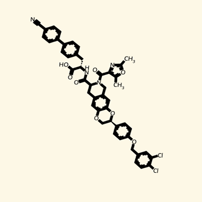 Cc1nc(C(=O)N2Cc3cc4c(cc3CC2C(=O)N[C@@H](Cc2ccc(-c3ccc(C#N)cc3)cc2)C(=O)O)OC[C@H](c2ccc(OCc3ccc(Cl)c(Cl)c3)cc2)O4)c(C)o1